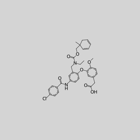 CCN(Cc1cc(NC(=O)c2ccc(Cl)cc2)ccc1Oc1cc(CC(=O)O)ccc1OC)C(=O)OCC1(C)C=CC=CC1